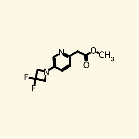 COC(=O)Cc1ccc(N2CC(F)(F)C2)cn1